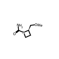 COC[C@H]1CCN1C(N)=O